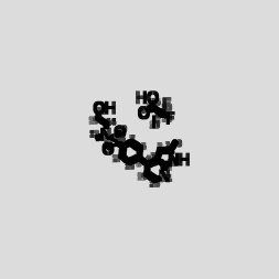 Cc1cc2c(-c3ccc(S(=O)(=O)N(C)CCO)cc3)ccnc2[nH]1.O=C(O)C(F)(F)F